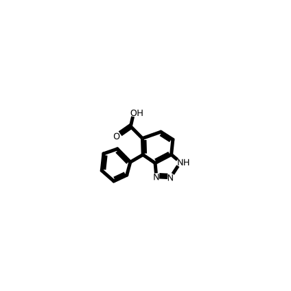 O=C(O)c1ccc2[nH]nnc2c1-c1ccccc1